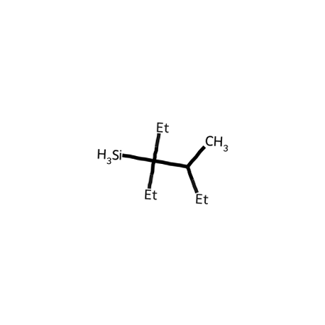 CCC(C)C([SiH3])(CC)CC